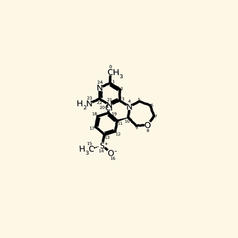 Cc1cc(N2CCCOC[C@H]2c2cc([S@@+](C)[O-])ccc2Cl)nc(N)n1